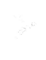 CC(NCc1ccc2c(c1)nc(NC(=O)c1ccno1)n2CC1CCCN1C(=O)C(C#N)=CC(C)(C)C)C(C)(C)C